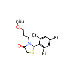 CCCCOCCCN1C(=O)CSC1c1c(CC)cc(CC)cc1CC